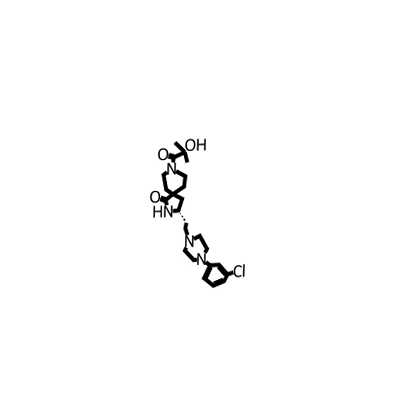 CC(C)(O)C(=O)N1CCC2(CC1)C[C@H](CCN1CCN(c3cccc(Cl)c3)CC1)NC2=O